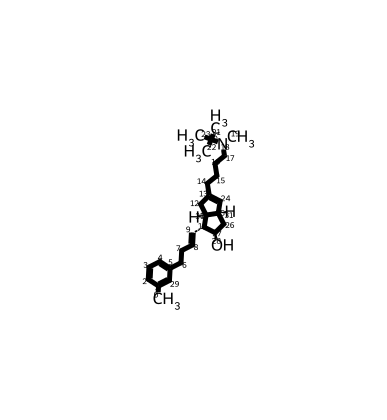 Cc1cccc(CC/C=C/[C@@H]2[C@H]3CC(CCCCN(C)C(C)(C)C)=C[C@H]3C[C@H]2O)c1